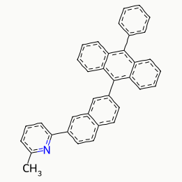 Cc1cccc(-c2ccc3ccc(-c4c5ccccc5c(-c5ccccc5)c5ccccc45)cc3c2)n1